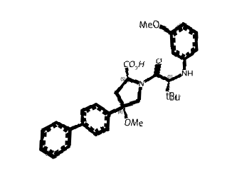 COc1cccc(N[C@H](C(=O)N2C[C@](OC)(c3ccc(-c4ccccc4)cc3)C[C@H]2C(=O)O)C(C)(C)C)c1